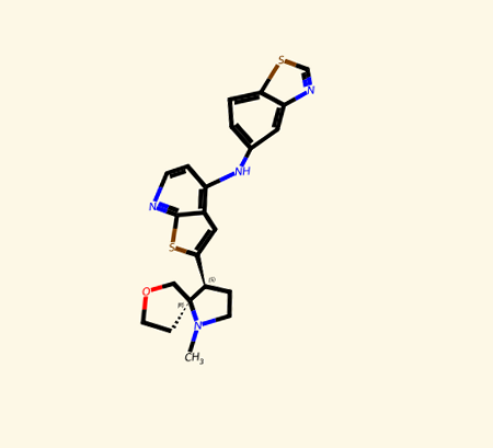 CN1CC[C@H](c2cc3c(Nc4ccc5scnc5c4)ccnc3s2)[C@@]12CCOC2